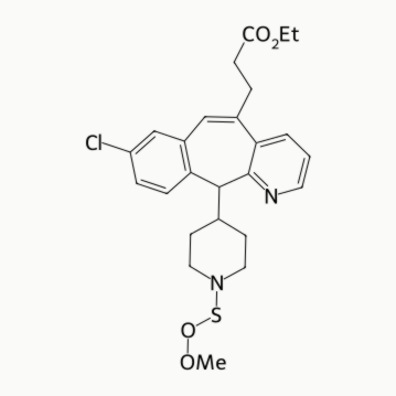 CCOC(=O)CCC1=Cc2cc(Cl)ccc2C(C2CCN(SOOC)CC2)c2ncccc21